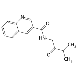 CC(C)C(=O)CNC(=O)c1cnc2ccccc2c1